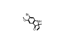 C=CC1(C)Nc2cc(Br)c(OC)cc2C1=O